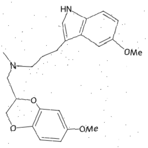 COc1ccc2c(c1)OC(CN(C)CCCc1c[nH]c3ccc(OC)cc13)CO2